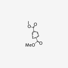 COC(=O)c1ccc(C(=O)OI)cc1